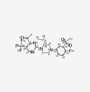 CC(=O)c1nc(N2CCN(c3ccc(F)c(S(C)(=O)=O)c3)C[C@H]2C(C)C)ncc1C(F)(F)F